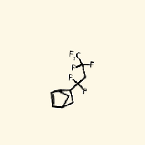 FC(F)(CC(F)(F)C(F)(F)F)C1CC2C=CC1C2